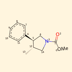 COC(=O)N1C[C@H](c2ccccc2)[C@@H](C)C1